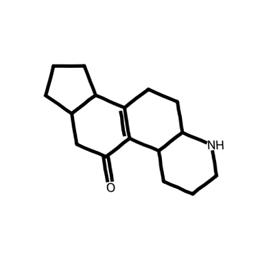 O=C1CC2CCCC2C2=C1C1CCCNC1CC2